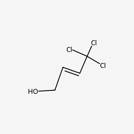 OCC=CC(Cl)(Cl)Cl